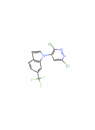 FC(F)(F)c1ccc2ccn(-c3cc(Cl)nnc3Cl)c2c1